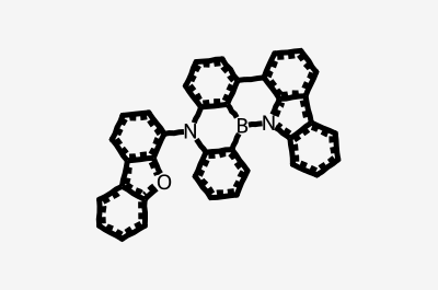 c1ccc2c(c1)B1c3c(cccc3N2c2cccc3c2oc2ccccc23)-c2cccc3c4ccccc4n1c23